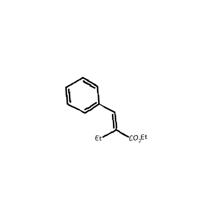 CCOC(=O)C(=Cc1ccccc1)CC